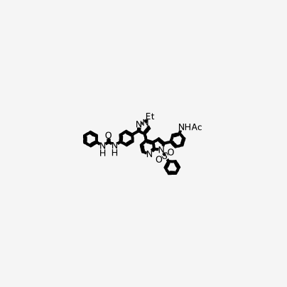 CCn1cc(-c2ccnc3c2cc(-c2cccc(NC(C)=O)c2)n3S(=O)(=O)c2ccccc2)c(-c2ccc(NC(=O)Nc3ccccc3)cc2)n1